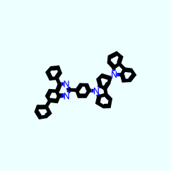 c1ccc(-c2ccc3c(-c4ccccc4)nc(-c4ccc(-n5c6ccccc6c6cc(-n7c8ccccc8c8ccccc87)ccc65)cc4)nc3c2)cc1